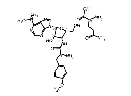 COc1ccc(C[C@H](N)C(=O)N[C@H]2[C@@H](O)[C@H](n3cnc4c(N(C)C)ncnc43)O[C@@H]2CO)cc1.NC(=O)CC[C@H](N)C(=O)O